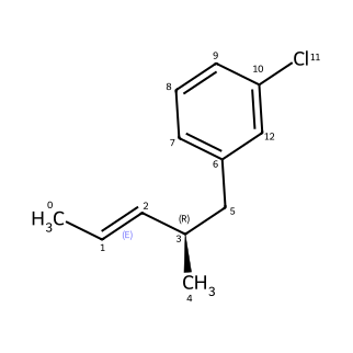 C/C=C/[C@H](C)Cc1cccc(Cl)c1